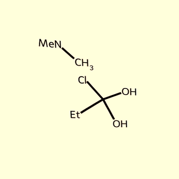 CCC(O)(O)Cl.CNC